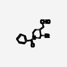 CCC1CN(C(=O)c2ccccc2)CCC1CC=O